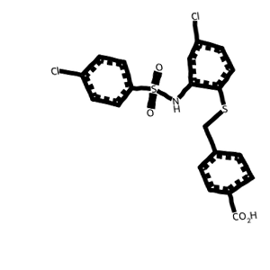 O=C(O)c1ccc(CSc2ccc(Cl)cc2NS(=O)(=O)c2ccc(Cl)cc2)cc1